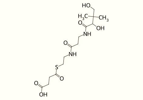 CC(C)(CO)C(O)C(=O)NCCC(=O)NCCSC(=O)CCC(=O)O